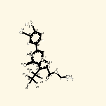 CCOC(=O)c1nn2cc(-c3ccc(C)c(Cl)c3)[nH]c(=O)c2c1C(F)(F)C(F)(F)F